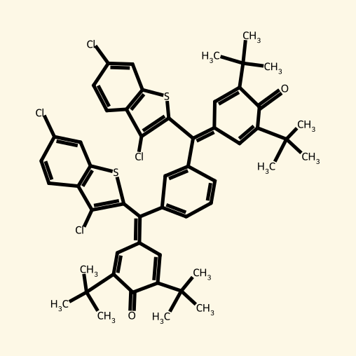 CC(C)(C)C1=CC(=C(c2cccc(C(=C3C=C(C(C)(C)C)C(=O)C(C(C)(C)C)=C3)c3sc4cc(Cl)ccc4c3Cl)c2)c2sc3cc(Cl)ccc3c2Cl)C=C(C(C)(C)C)C1=O